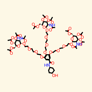 CC(=O)N[C@H]1[C@H](OCCOCCOCCOc2cc(C(=O)N[C@H]3CC[C@@H](O)CC3)cc(OCCOCCOCCO[C@@H]3O[C@H](COC(C)=O)[C@H](OC(C)=O)[C@H](OC(C)=O)[C@H]3NC(C)=O)c2OCCOCCOCCO[C@@H]2O[C@H](COC(C)=O)[C@H](OC(C)=O)[C@H](OC(C)=O)[C@H]2NC(C)=O)O[C@H](COC(C)=O)[C@H](OC(C)=O)[C@@H]1OC(C)=O